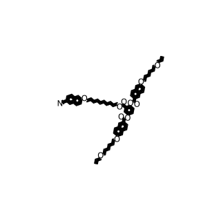 C=CCOCCCCCCOc1ccc2cc(C(=O)Oc3ccc(OC(=O)c4ccc5cc(OCCCCCCOCC=C)ccc5c4)c(C(=O)OCCCCCCCCCCOc4ccc5cc(C#N)ccc5c4)c3)ccc2c1